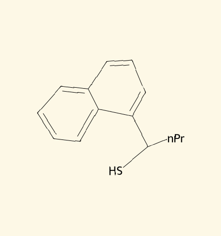 CCCC(S)c1cccc2ccccc12